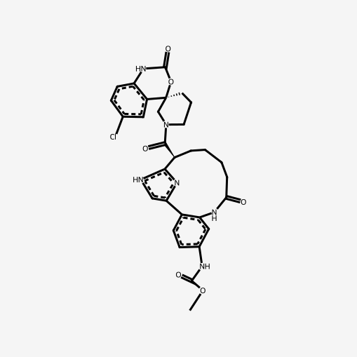 COC(=O)Nc1ccc2c(c1)NC(=O)CCCC[C@H](C(=O)N1CCC[C@@]3(C1)OC(=O)Nc1ccc(Cl)cc13)c1nc-2c[nH]1